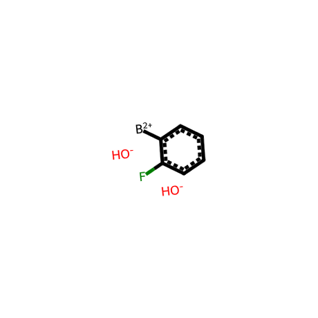 [B+2]c1ccccc1F.[OH-].[OH-]